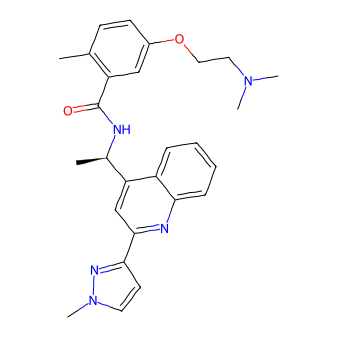 Cc1ccc(OCCN(C)C)cc1C(=O)N[C@H](C)c1cc(-c2ccn(C)n2)nc2ccccc12